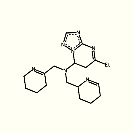 CCC1=Nc2ncnn2C(N(CC2=NCCCC2)CC2CCCC=N2)C1